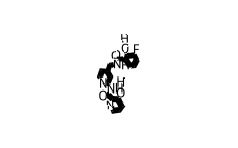 O=C(NCc1ccnc(NC(=O)c2ncccc2O)c1)c1cccc(F)c1O